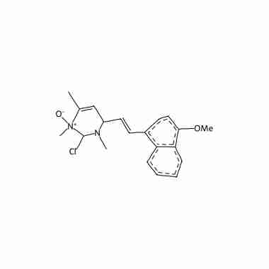 COc1ccc(C=CC2C=C(C)[N+](C)([O-])C(Cl)N2C)c2ccccc12